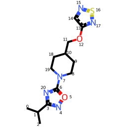 CC(C)c1noc(N2CCC(COc3cnsn3)CC2)n1